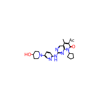 CC(=O)c1c(C)c2cnc(Nc3ccc(N4CCC(O)CC4)cn3)nc2n(C2CCCC2)c1=O